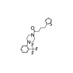 O=C(CCCc1cccs1)N1CCN(c2ccccc2C(F)(F)F)CC1